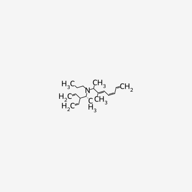 C=C/C=C\C=C(/C)C(C)N(CCC)[C@H](C)C(C=C)C=C